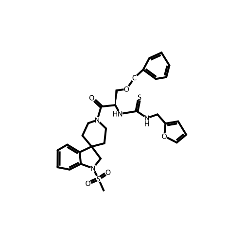 CS(=O)(=O)N1CC2(CCN(C(=O)[C@@H](COCc3ccccc3)NC(=S)NCc3ccco3)CC2)c2ccccc21